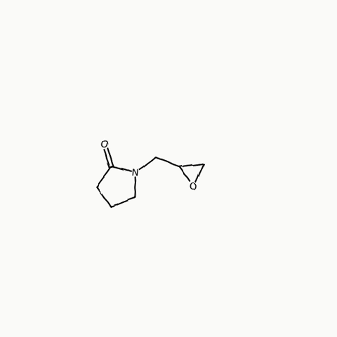 O=C1CCCN1CC1CO1